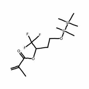 C=C(C)C(=O)OC(CCO[Si](C)(C)[Si](C)(C)C)C(F)(F)F